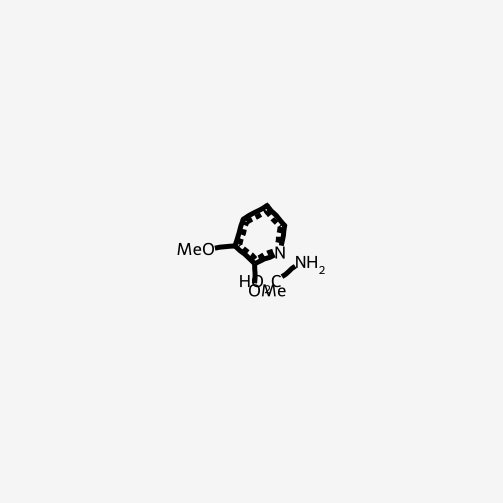 COc1cccnc1OC.NC(=O)O